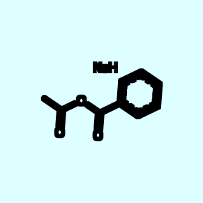 CC(=O)OC(=O)c1ccccc1.[NaH]